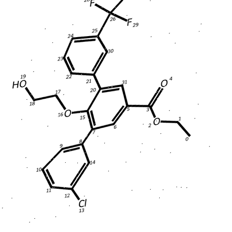 CCOC(=O)c1cc(-c2cccc(Cl)c2)c(OCCO)c(-c2cccc(C(F)(F)F)c2)c1